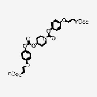 CCCCCCCCCCCCOc1ccc(OC(=O)OC2CCN(C(=O)Oc3ccc(OCCCCCCCCCCCC)cc3)CC2)cc1